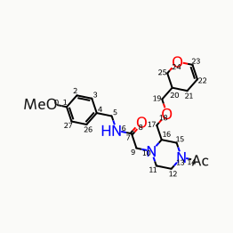 COc1ccc(CNC(=O)CN2CCN(C(C)=O)CC2COCC2CC=COC2)cc1